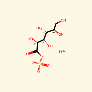 O=C(OP(=O)([O-])[O-])[C@H](O)[C@@H](O)[C@H](O)[C@H](O)CO.[Fe+2]